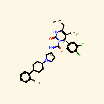 COCC1=C(C(=O)O)[C@H](c2ccc(F)c(F)c2)N(C(=O)N[C@@H]2CCN(C3CCC(c4ccccc4C(F)(F)F)CC3)C2)C(=O)N1